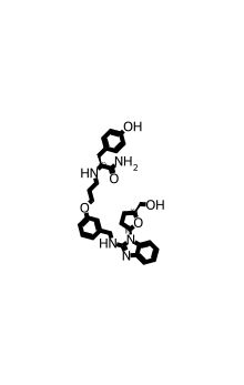 NC(=O)[C@H](Cc1ccc(O)cc1)NCCCOc1cccc(CNc2nc3ccccc3n2[C@H]2CC[C@@H](CO)O2)c1